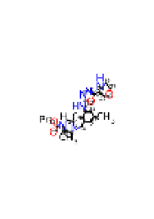 Cc1cc(CN2CCN(C(=O)OC(C)C)[C@@H](C)C2)c(C)c(Nc2nnc(C3COCCN3)o2)c1